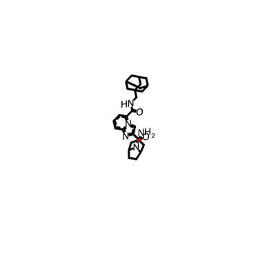 NC1CC2CCC(C1)N2C(=O)c1cn2c(C(=O)NCC34CC5CC(CC(C5)C3)C4)cccc2n1